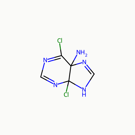 NC12N=CNC1(Cl)N=CN=C2Cl